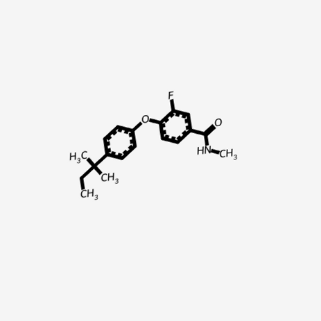 CCC(C)(C)c1ccc(Oc2ccc(C(=O)NC)cc2F)cc1